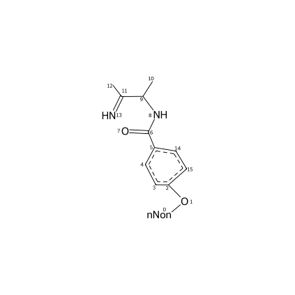 CCCCCCCCCOc1ccc(C(=O)NC(C)C(C)=N)cc1